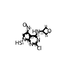 O=Nc1cn(S)c2nc(Cl)nc(NC3COC3)c12